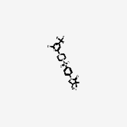 CC1(C)C(=O)N(c2ccc(S(=O)(=O)N3CCN(c4cc(C(F)(F)F)cc(Cl)n4)CC3)cc2)CC1N